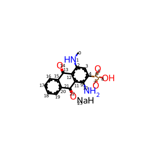 CNc1cc(S(=O)(=O)O)c(N)c2c1C(=O)c1ccccc1C2=O.[NaH]